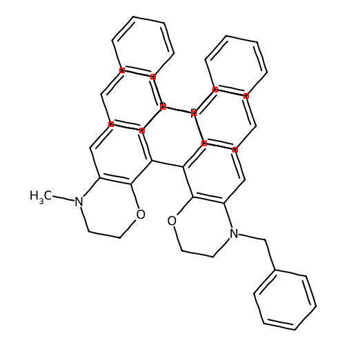 CN1CCOc2c1ccc(P(c1ccccc1)c1ccccc1)c2-c1c(P(c2ccccc2)c2ccccc2)ccc2c1OCCN2Cc1ccccc1